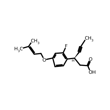 CC#C[C@@H](CC(=O)O)c1ccc(OCC=C(C)C)cc1F